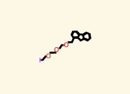 ICCOCCOCCOCCc1cccc2c1Cc1ccccc1-2